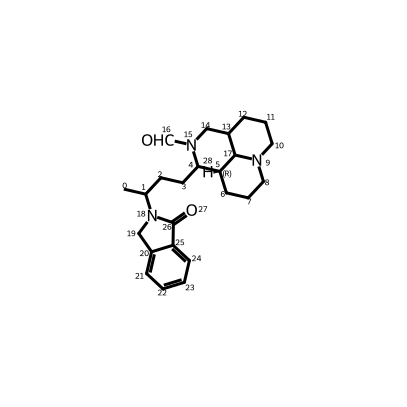 CC(CCC1[C@H]2CCCN3CCCC(CN1C=O)C23)N1Cc2ccccc2C1=O